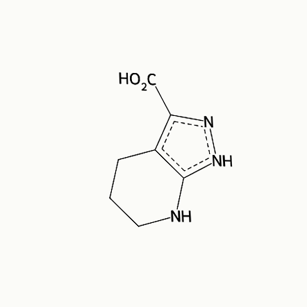 O=C(O)c1n[nH]c2c1CCCN2